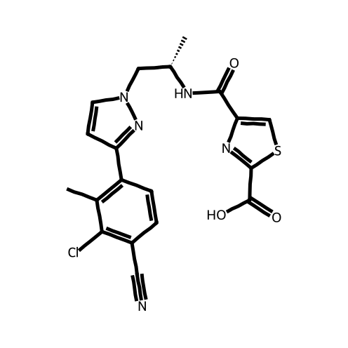 Cc1c(-c2ccn(C[C@H](C)NC(=O)c3csc(C(=O)O)n3)n2)ccc(C#N)c1Cl